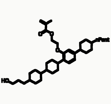 C=C(C)C(=O)OCCOc1cc(C2CCC(CCCCC)CC2)ccc1C1CCC(C2CCC(CCCO)CC2)CC1